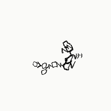 O=C(OC1COC1)N1CCN(c2ccnc3[nH]c(-c4cn5c(n4)CCC5)cc23)CC1